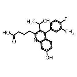 Cc1cc(-c2c(C(C)C)c(CCCC(=O)O)nc3cc(O)ccc23)ccc1F